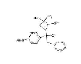 CCCC1C(C(O)(Cc2ccccc2)c2ccc(OC)cc2)CC1(C)CCC